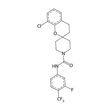 O=C(Nc1ccc(C(F)(F)F)c(F)c1)N1CCC2(CCc3cccc(Cl)c3O2)CC1